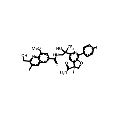 COc1cc(C(=O)NCC(O)(c2cc3c(c(-c4ccc(F)cc4)n2)OC[C@]3(C)C(N)=O)C(F)(F)F)cc2cc(C)c(CO)nc12